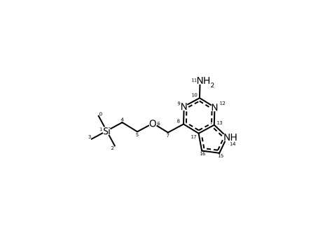 C[Si](C)(C)CCOCc1nc(N)nc2[nH]ccc12